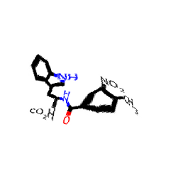 Cc1ccc(C(=O)NC(Cc2c[nH]c3ccccc23)C(=O)O)cc1[N+](=O)[O-]